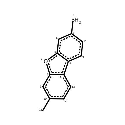 Bc1ccc2c(c1)oc1cc(C)ccc12